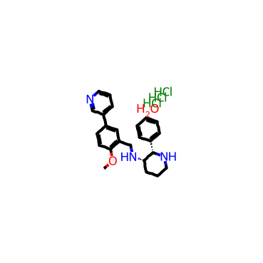 COc1ccc(-c2cccnc2)cc1CN[C@H]1CCCN[C@H]1c1ccccc1.Cl.Cl.Cl.O